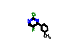 CC1C=C(c2nc(Cl)ncc2F)C=CC1